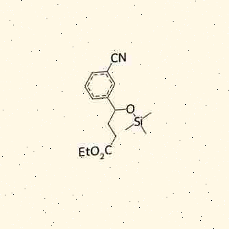 CCOC(=O)CCC(O[Si](C)(C)C)c1cccc(C#N)c1